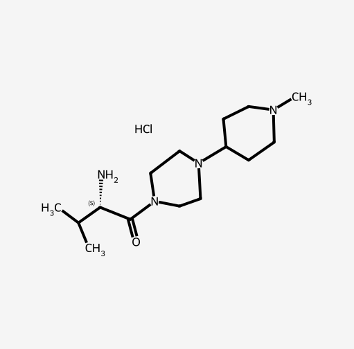 CC(C)[C@H](N)C(=O)N1CCN(C2CCN(C)CC2)CC1.Cl